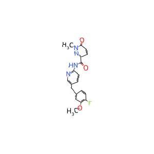 COc1cc(Cc2ccc(NC(=O)c3ccc(=O)n(C)n3)nc2)ccc1F